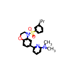 CC(C)c1cccc(S(=O)(=O)N2CCOc3ccc(-c4cccc(N(C)C)n4)cc32)c1